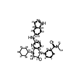 C[C@@H]1C(=O)N(c2cccc(C(=O)N(C)C)c2)c2cnc(Nc3ccc4[nH]ncc4c3)nc2N1C1CCCCC1